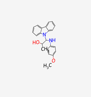 COc1ccc(NC(C(C)O)n2c3ccccc3c3ccccc32)cc1